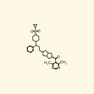 Cc1ncnc(C)c1C(=O)N1CC2CN(CCC(c3ccccc3)C3CCN(S(=O)(=O)C4CC4)CC3)CC2C1